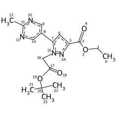 CCOC(=O)c1cc(-c2cnc(C)nc2)n(CC(=O)OC(C)(C)C)n1